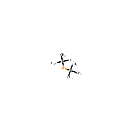 C[Si](C)(C)P[Si](C)(C)C